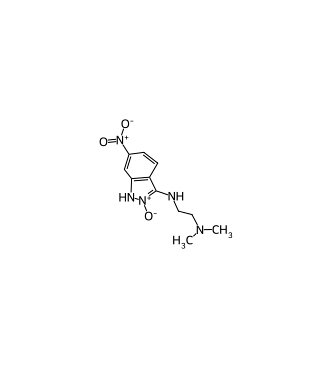 CN(C)CCNc1c2ccc([N+](=O)[O-])cc2[nH][n+]1[O-]